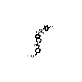 O=C(O)CC1CCC(OC(=O)N2CCc3cc(NC(=O)Nc4ccc(C(F)(F)F)cc4F)ccc3C2)CC1